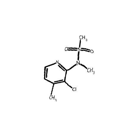 Cc1ccnc(N(C)S(C)(=O)=O)c1Cl